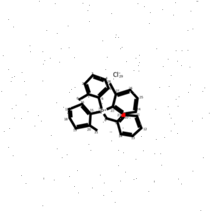 Cc1ccccc1[P+](Cc1ccccc1)(c1ccccc1C)c1ccccc1C.[Cl-]